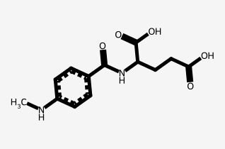 CNc1ccc(C(=O)NC(CCC(=O)O)C(=O)O)cc1